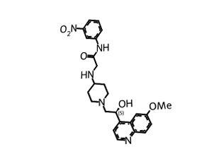 COc1ccc2nccc([C@H](O)CN3CCC(NCC(=O)Nc4cccc([N+](=O)[O-])c4)CC3)c2c1